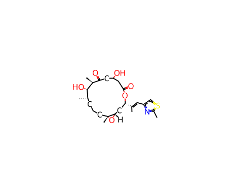 C/C(=C\c1csc(C)n1)[C@@H]1C[C@@H]2O[C@]2(C)CCC[C@H](C)[C@H](O)[C@@H](C)C(=O)C[C@@H](O)CC(=O)O1